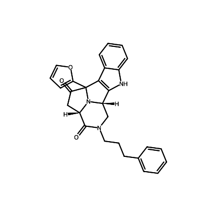 O=C1[C@@H]2CC(=O)C3(c4ccco4)c4c([nH]c5ccccc45)[C@H](CN1CCCc1ccccc1)N23